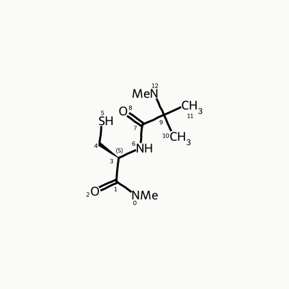 CNC(=O)[C@@H](CS)NC(=O)C(C)(C)NC